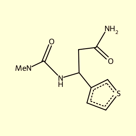 CNC(=O)NC(CC(N)=O)c1ccsc1